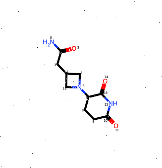 NC(=O)CC1CN(C2CCC(=O)NC2=O)C1